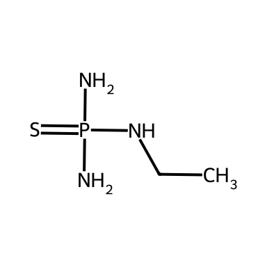 CCNP(N)(N)=S